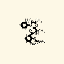 COc1ccnc(C(=O)N[C@@H](C)C(=O)O[C@H](C)[C@H](C)Oc2ccccc2)c1OCOC(C)=O